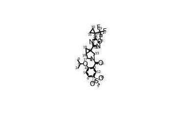 CC(C)Oc1ccc(S(C)(=O)=O)cc1C(=O)N1CC2CC2(c2noc(C3(C(F)(F)F)CC3)n2)C1